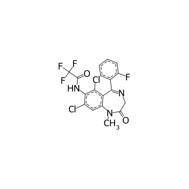 CN1C(=O)CN=C(c2ccccc2F)c2c1cc(Cl)c(NC(=O)C(F)(F)F)c2Cl